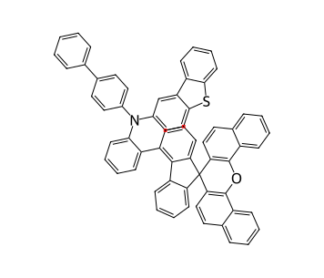 c1ccc(-c2ccc(N(c3ccc4sc5ccccc5c4c3)c3ccccc3-c3cccc4c3-c3ccccc3C43c4ccc5ccccc5c4Oc4c3ccc3ccccc43)cc2)cc1